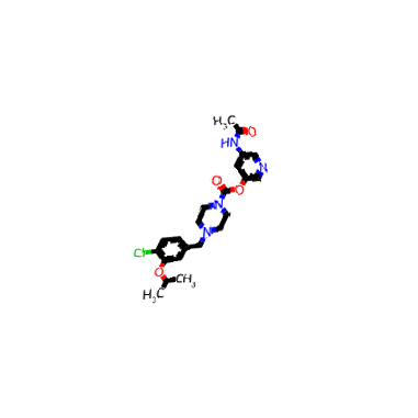 CC(=O)Nc1cncc(OC(=O)N2CCN(Cc3ccc(Cl)c(OC(C)C)c3)CC2)c1